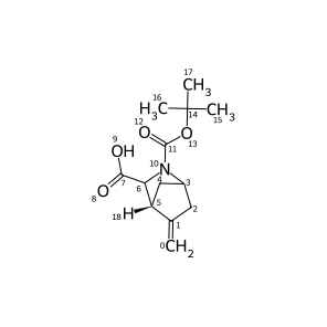 C=C1CC2C[C@H]1C(C(=O)O)N2C(=O)OC(C)(C)C